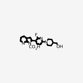 O=C(O)n1c(-c2ccc(N3CCC(CO)CC3)nc2F)cc2cccnc21